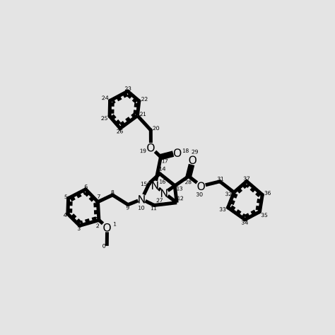 COc1ccccc1CCN1CC2CCC1N(C(=O)OCc1ccccc1)N2C(=O)OCc1ccccc1